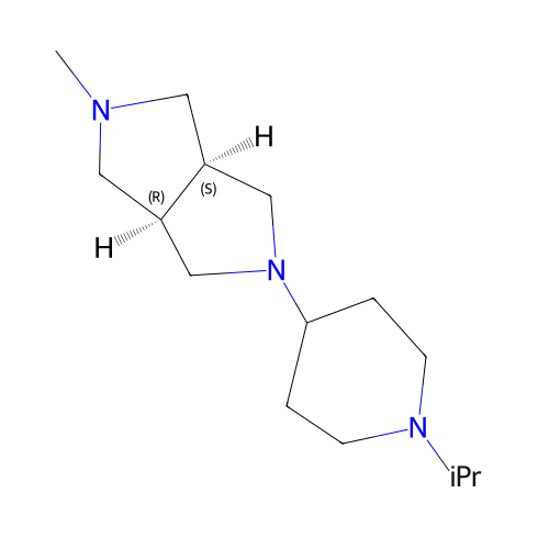 CC(C)N1CCC(N2C[C@H]3CN(C)C[C@H]3C2)CC1